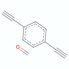 C#Cc1ccc(C#C)cc1.C=O